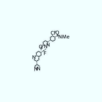 CNC(=O)c1ccc(-c2ccc(=O)n(CC(F)(F)c3ccc4ncc(-c5cnn(C)c5)cc4c3)n2)cc1C(F)(F)F